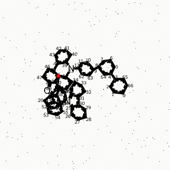 c1ccc(-c2cccc(-c3ccc(N(c4ccc(-c5ccccc5-n5c6ccccc6c6ccccc65)cc4)c4ccccc4-c4ccc5oc6c7ccccc7ccc6c5c4)cc3)c2)cc1